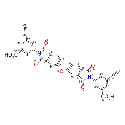 C#Cc1cc(C(=O)O)cc(N2C(=O)c3ccc(Oc4ccc5c(c4)C(=O)N(c4cc(C#C)cc(C(=O)O)c4)C5=O)cc3C2=O)c1